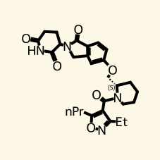 CCCc1onc(CC)c1C(=O)N1CCCC[C@H]1COc1ccc2c(c1)CN(C1CCC(=O)NC1=O)C2=O